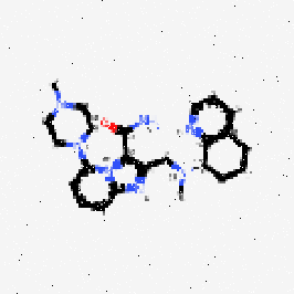 CN1CCN(c2cccc3nc(CN(C)[C@H]4CCCc5cccnc54)c(C(N)=O)n23)CC1